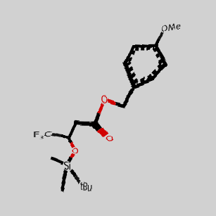 COc1ccc(COC(=O)CC(O[Si](C)(C)C(C)(C)C)C(F)(F)F)cc1